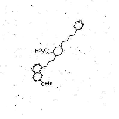 COc1ccc2nccc(CCC[C@@H]3CCN(CCCCc4ccncc4)C[C@@H]3CC(=O)O)c2c1